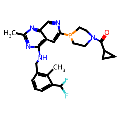 Cc1nc(NCc2cccc(C(F)F)c2C)c2cc(P3CCN(C(=O)C4CC4)CC3)ncc2n1